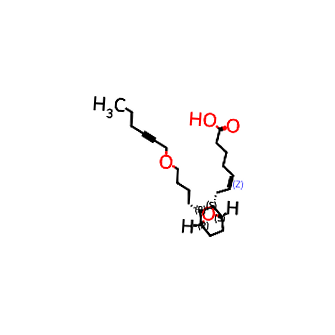 CCCC#CCOCCCC[C@@H]1[C@H](C/C=C\CCCC(=O)O)[C@@H]2CC[C@H]1O2